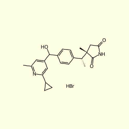 Br.Cc1cc(C(O)c2ccc([C@@H](C)[C@]3(C)CC(=O)NC3=O)cc2)cc(C2CC2)n1